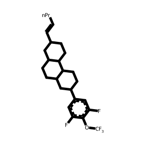 CCC/C=C/C1CCC2C(CCC3CC(c4cc(F)c(OC(F)(F)F)c(F)c4)CCC32)C1